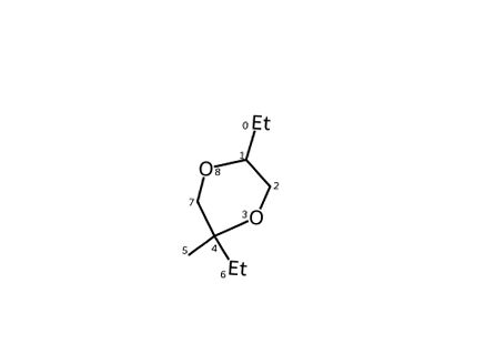 CCC1COC(C)(CC)CO1